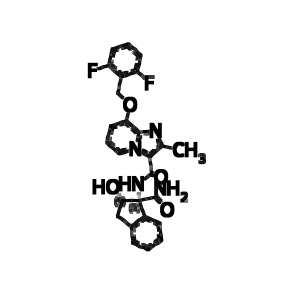 Cc1nc2c(OCc3c(F)cccc3F)cccn2c1C(=O)N[C@]1(C(N)=O)c2ccccc2C[C@@H]1O